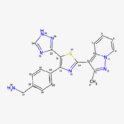 Cc1nn2ccccc2c1-c1nc(-c2ccc(CN)cc2)c(-c2nc[nH]n2)s1